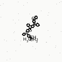 C[Si](C)(C)c1ccc(N(c2ccccc2)c2ccc3c(c2)sc2c4ccc(N(c5ccccc5)c5ccc6oc7ccccc7c6c5)cc4c4ccccc4c32)cc1